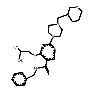 CC(C)CNc1nc(N2CCN(CC3CCCOC3)CC2)ncc1C(=O)NCc1ccccc1